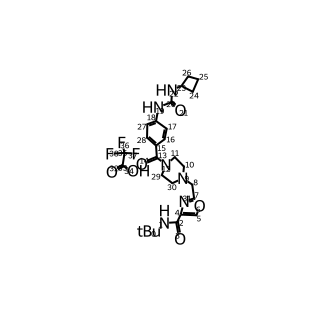 CC(C)(C)NC(=O)c1coc(CN2CCN(C(=O)c3ccc(NC(=O)NC4CCC4)cc3)CC2)n1.O=C(O)C(F)(F)F